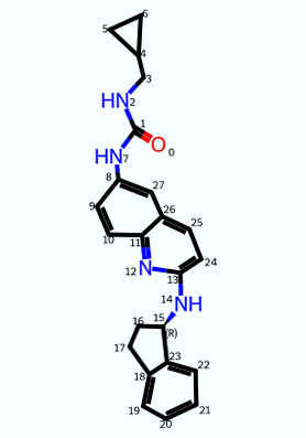 O=C(NCC1CC1)Nc1ccc2nc(N[C@@H]3CCc4ccccc43)ccc2c1